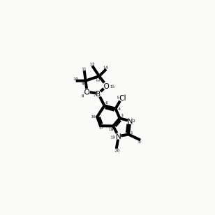 Cc1nc2c(Cl)c(B3OC(C)(C)C(C)(C)O3)ccc2n1C